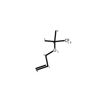 C=CCOC(C)(C)C(F)(F)F